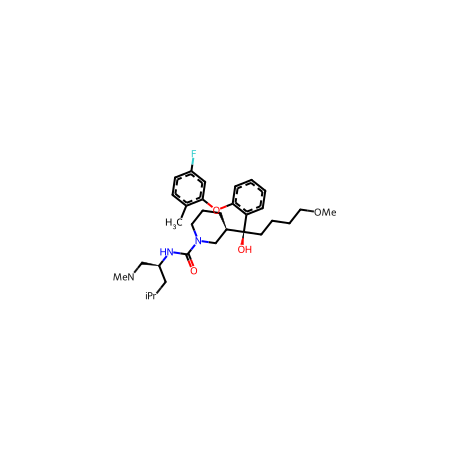 CNC[C@H](CC(C)C)NC(=O)N1CCC[C@@H]([C@@](O)(CCCCOC)c2ccccc2Oc2cc(F)ccc2C)C1